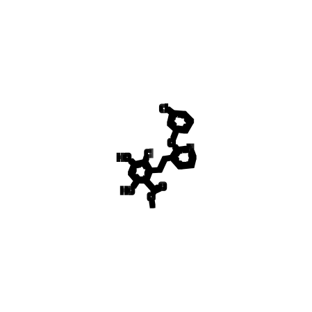 COC(=O)c1c(O)cc(O)c(Cl)c1CCc1cccnc1Oc1cccc(Cl)c1